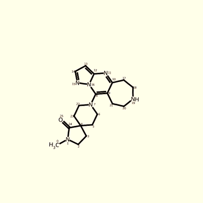 CN1CCC2(CCN(c3c4c(nc5ccnn35)CCNCC4)CC2)C1=O